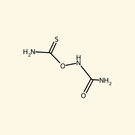 NC(=O)NOC(N)=S